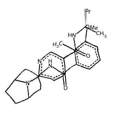 COc1cccc(C(=O)NC2CC3CCC(C2)N3c2ccc(C(=O)N[C@@H](C)C(C)C)cn2)c1C